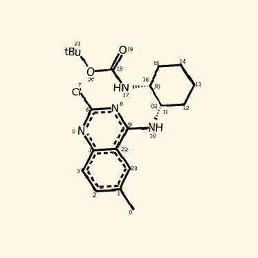 Cc1ccc2nc(Cl)nc(N[C@H]3CCCC[C@H]3NC(=O)OC(C)(C)C)c2c1